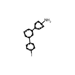 Nc1ccc(-c2cccc(-c3ccc(I)cc3)c2)cc1